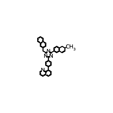 CC1C=Cc2cc(-c3nc(Cc4ccc5ccccc5c4)nc(-c4ccc(-c5cccc6cccnc56)cc4)n3)ccc2C1